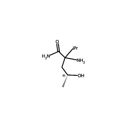 CC(C)C(N)(C[C@@H](C)O)C(N)=O